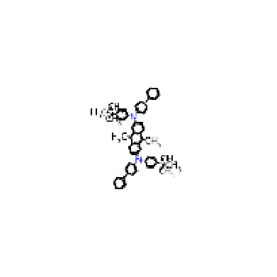 Cc1c2ccc(N(c3ccc(-c4ccccc4)cc3)c3ccc([Si](C)(C)C)cc3)cc2c(C)c2ccc(N(c3ccc(-c4ccccc4)cc3)c3ccc([Si](C)(C)C)cc3)cc12